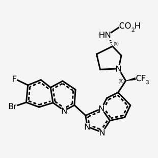 O=C(O)N[C@H]1CCN([C@H](c2ccc3nnc(-c4ccc5cc(F)c(Br)cc5n4)n3c2)C(F)(F)F)C1